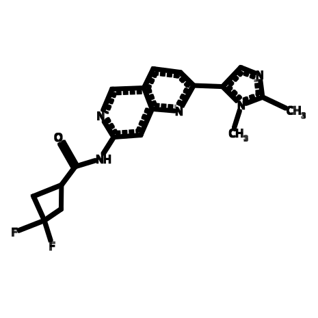 Cc1ncc(-c2ccc3cnc(NC(=O)C4CC(F)(F)C4)cc3n2)n1C